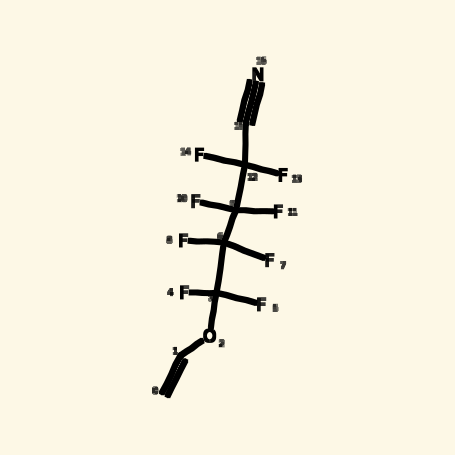 C=COC(F)(F)C(F)(F)C(F)(F)C(F)(F)C#N